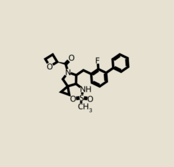 CS(=O)(=O)NC1C(Cc2cccc(-c3ccccc3)c2F)N(C(=O)[C@@H]2CCO2)CC12CC2